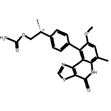 COc1cc(C)c2[nH]c(=O)c3scnc3c2c1-c1ccc([C@@H](C)COC(N)=O)cc1